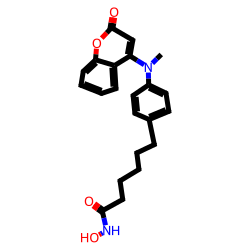 CN(c1ccc(CCCCCC(=O)NO)cc1)c1cc(=O)oc2ccccc12